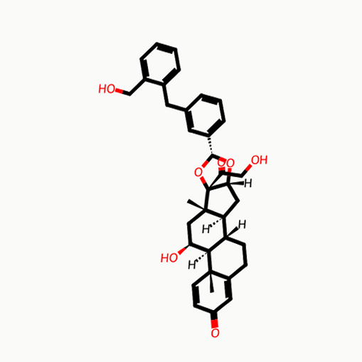 C[C@]12C=CC(=O)C=C1CC[C@@H]1[C@@H]2[C@@H](O)C[C@@]2(C)[C@H]1C[C@H]1O[C@@H](c3cccc(Cc4ccccc4CO)c3)O[C@]12C(=O)CO